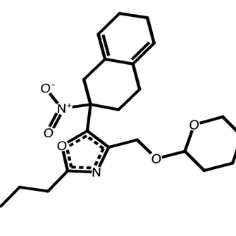 CCCc1nc(COC2CCCCO2)c(C2([N+](=O)[O-])CCC3=CCCC=C3C2)o1